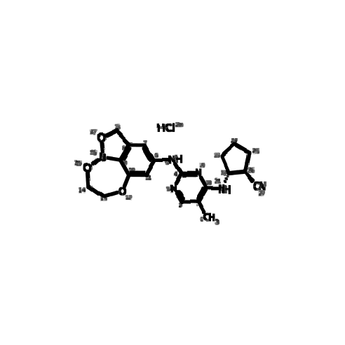 Cc1cnc(Nc2cc3c4c(c2)OCCOB4OC3)nc1N[C@@H]1CCC[C@H]1C#N.Cl